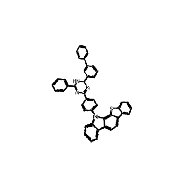 c1ccc(C2=NC(c3ccc(-n4c5ccccc5c5ccc6c7ccccc7sc6c54)cc3)=NC(c3cccc(-c4ccccc4)c3)N2)cc1